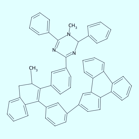 CC1Cc2ccccc2C(c2cccc(-c3ccc4c5ccccc5c5ccccc5c4c3)c2)=C1c1cccc(C2=NC(c3ccccc3)N(C)C(c3ccccc3)=N2)c1